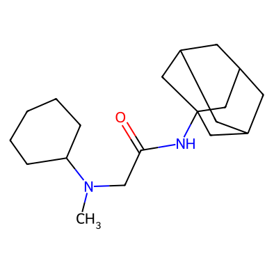 CN(CC(=O)NC12CC3CC(CC(C3)C1)C2)C1CCCCC1